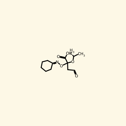 CC(C)OC(CC=O)(ON=C1CCCCC1)C(=O)O